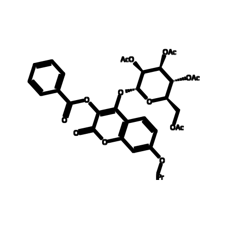 CC(=O)OC[C@H]1O[C@H](Oc2c(OC(=O)c3ccccc3)c(=O)oc3cc(OC(C)C)ccc23)[C@@H](OC(C)=O)[C@@H](OC(C)=O)[C@@H]1OC(C)=O